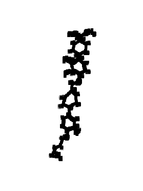 C=CCCOc1ccc(C2CCC(COc3ccc(C4CCC(C(C)O)CC4)c(F)c3F)CC2)cc1F